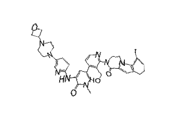 C[C@H]1CCCc2cc3n(c21)CCN(c1nccc(-c2cc(Nc4ccc(N5CCN(C6COC6)CC5)cn4)c(=O)n(C)c2)c1CO)C3=O